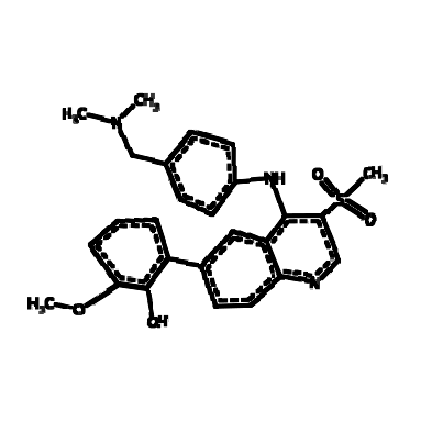 COc1cccc(-c2ccc3ncc(S(C)(=O)=O)c(Nc4ccc(CN(C)C)cc4)c3c2)c1O